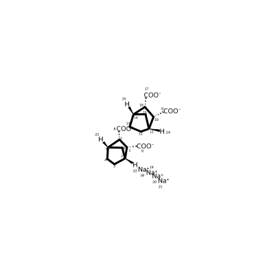 O=C([O-])[C@@H]1[C@@H]2CC[C@@H](C2)[C@@H]1C(=O)[O-].O=C([O-])[C@@H]1[C@@H]2CC[C@@H](C2)[C@@H]1C(=O)[O-].[Na+].[Na+].[Na+].[Na+]